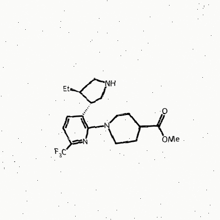 CC[C@H]1CNC[C@@H]1c1ccc(C(F)(F)F)nc1N1CCC(C(=O)OC)CC1